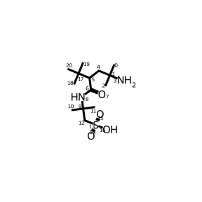 CC(C)(N)CC(C(=O)NC(C)(C)CS(=O)(=O)O)C(C)(C)C